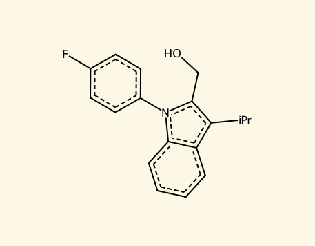 CC(C)c1c(CO)n(-c2ccc(F)cc2)c2ccccc12